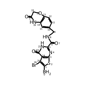 Bc1sc2nc(C(=O)NCc3ccc4c(c3)NC(=O)CO4)[nH]c(=O)c2c1Br